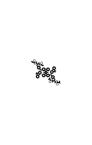 C=CC(=O)OC(C)C(Cc1ccc(N(c2ccc3c(c2)C(C)(C)c2ccccc2-3)c2ccc3c(c2)C2(c4ccccc4-3)C(C)C3(c4ccccc4-c4ccc(N(c5ccc(CC(C(C)OC(=O)C(=C)C)C(C)OC(=O)C(=C)C)cc5)c5ccc6c(c5)C(C)(C)c5ccccc5-6)cc43)C2C)cc1)C(C)OC(=O)C=C